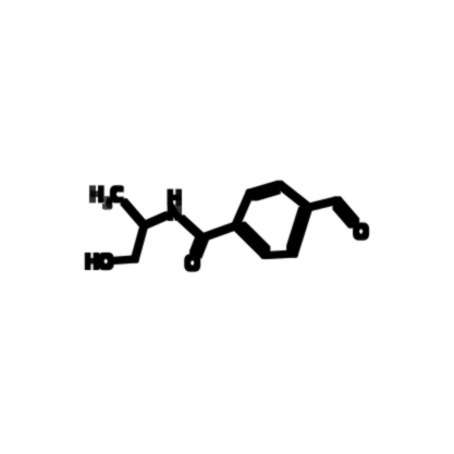 CC(CO)NC(=O)c1ccc(C=O)cc1